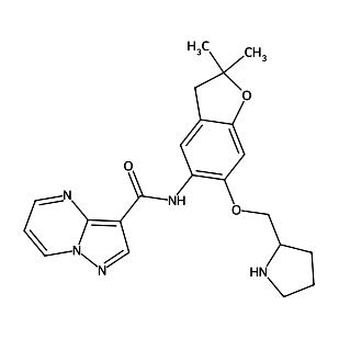 CC1(C)Cc2cc(NC(=O)c3cnn4cccnc34)c(OCC3CCCN3)cc2O1